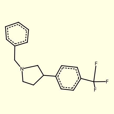 FC(F)(F)c1ccc(C2CCN(Cc3ccccc3)C2)cc1